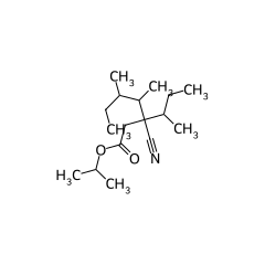 CCC(C)C(C)C(C#N)(CC(=O)OC(C)C)C(C)CC